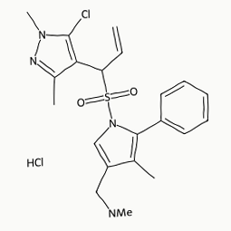 C=CC(c1c(C)nn(C)c1Cl)S(=O)(=O)n1cc(CNC)c(C)c1-c1ccccc1.Cl